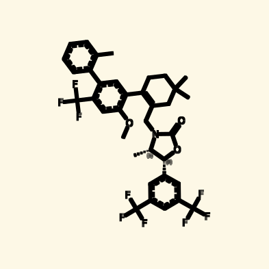 COc1cc(C(F)(F)F)c(-c2ccccc2C)cc1C1=C(CN2C(=O)O[C@H](c3cc(C(F)(F)F)cc(C(F)(F)F)c3)[C@@H]2C)CC(C)(C)CC1